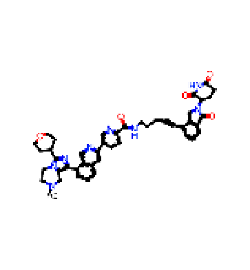 CC(=O)N1CCn2c(C3CCOCC3)nc(-c3cccc4cc(-c5ccc(C(=O)NCCCC#Cc6cccc7c6CN(C6CCC(=O)NC6=O)C7=O)nc5)ncc34)c2C1